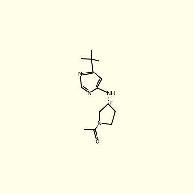 CC(=O)N1CC[C@@H](Nc2cc(C(C)(C)C)ncn2)C1